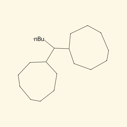 CCC[CH]C(C1CCCCCCC1)C1CCCCCCC1